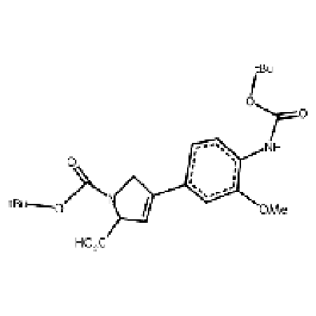 COc1cc(C2=CC(C(=O)O)N(C(=O)OC(C)(C)C)C2)ccc1NC(=O)OC(C)(C)C